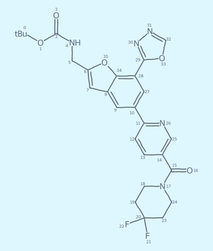 CC(C)(C)OC(=O)NCc1cc2cc(-c3ccc(C(=O)N4CCC(F)(F)CC4)cn3)cc(-c3nnco3)c2o1